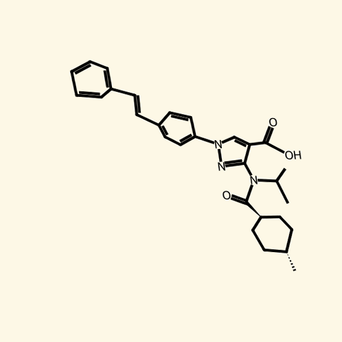 CC(C)N(c1nn(-c2ccc(C=Cc3ccccc3)cc2)cc1C(=O)O)C(=O)[C@H]1CC[C@H](C)CC1